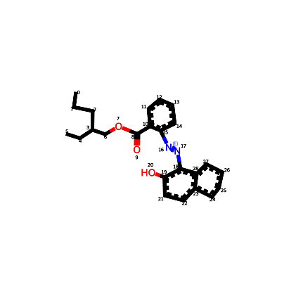 CCCC(CC)COC(=O)c1ccccc1/N=N/c1c(O)ccc2ccccc12